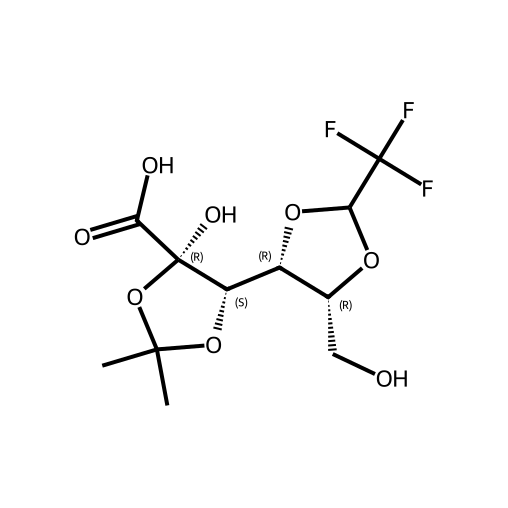 CC1(C)O[C@@H]([C@@H]2OC(C(F)(F)F)O[C@@H]2CO)[C@](O)(C(=O)O)O1